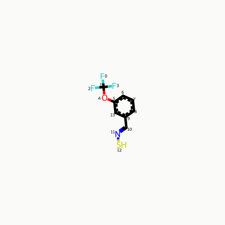 FC(F)(F)Oc1cccc(/C=N/S)c1